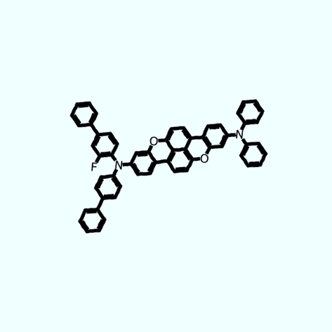 Fc1cc(-c2ccccc2)ccc1N(c1ccc(-c2ccccc2)cc1)c1ccc2c(c1)Oc1ccc3c4c(ccc-2c14)Oc1cc(N(c2ccccc2)c2ccccc2)ccc1-3